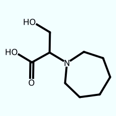 O=C(O)C(CO)N1CCCCCC1